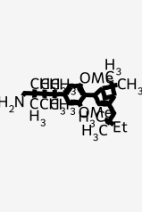 CCC(C)(C)CC1=CC(c2c(OC)cc(C(C)(C)C(C)(C)C(C)(C)CN)cc2OC)C2CC1C2(C)C